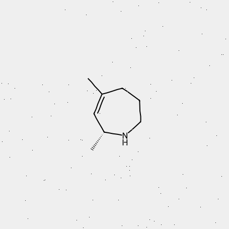 CC1=C[C@@H](C)NCCC1